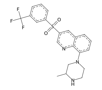 CC1CN(c2cccc3cc(S(=O)(=O)c4cccc(C(F)(F)F)c4)cnc23)CCN1